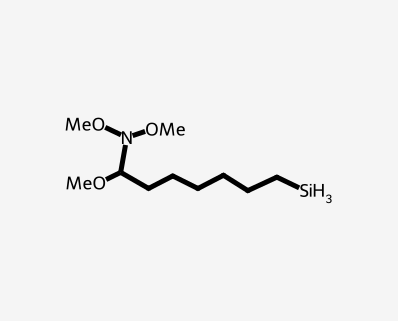 COC(CCCCCC[SiH3])N(OC)OC